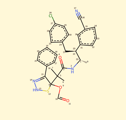 C[C@H](NC(=O)C(C)(C)C1(OC=O)SNN=C1c1ccccc1)[C@@H](Cc1ccc(Cl)cc1)c1cccc(C#N)c1